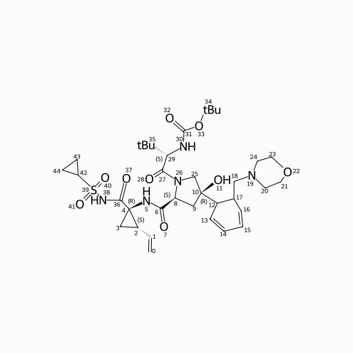 C=C[C@@H]1C[C@]1(NC(=O)[C@@H]1C[C@@](O)(C2C=CC=CC2CN2CCOCC2)CN1C(=O)[C@@H](NC(=O)OC(C)(C)C)C(C)(C)C)C(=O)NS(=O)(=O)C1CC1